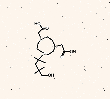 CC(C)(CO)CC(C)(C)N1CCN(CC(=O)O)CCN(CC(=O)O)CC1